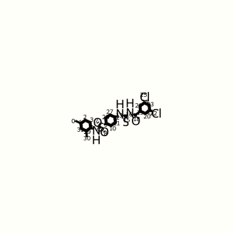 Cc1ccc(NS(=O)(=O)c2ccc(NC(=S)NC(=O)c3cc(Cl)cc(Cl)c3)cc2)c(C)c1